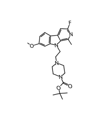 COc1ccc2c3cc(F)nc(C)c3n(CCN3CCN(C(=O)OC(C)(C)C)CC3)c2c1